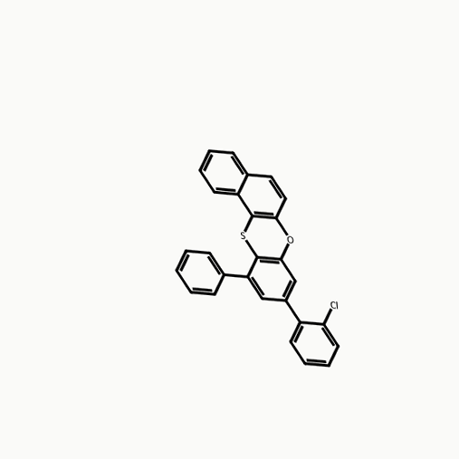 Clc1ccccc1-c1cc2c(c(-c3ccccc3)c1)Sc1c(ccc3ccccc13)O2